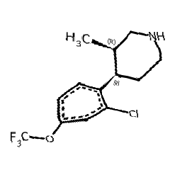 C[C@H]1CNCC[C@H]1c1ccc(OC(F)(F)F)cc1Cl